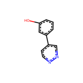 Oc1cccc(-c2ccnnc2)c1